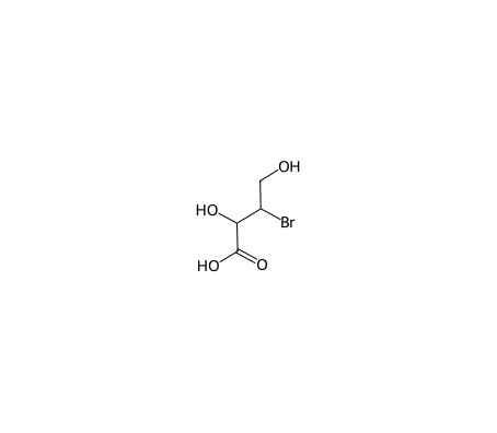 O=C(O)C(O)C(Br)CO